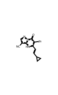 CC(C)c1c(/C=C/C2CC2)[nH]c2c(C#N)cnn2c1=O